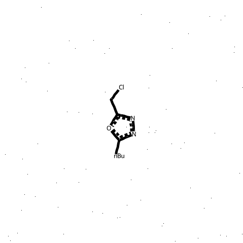 CCCCc1nnc(CCl)o1